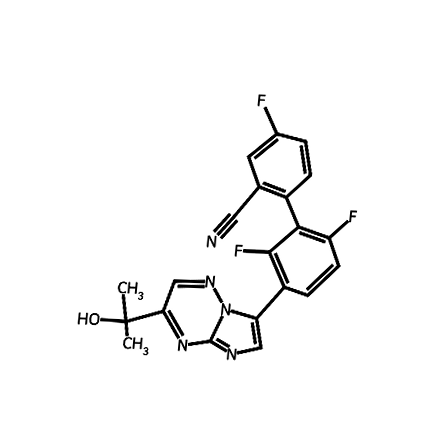 CC(C)(O)c1cnn2c(-c3ccc(F)c(-c4ccc(F)cc4C#N)c3F)cnc2n1